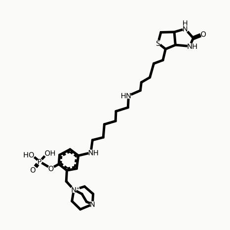 O=C1NC2CSC(CCCCCNCCCCCCNc3ccc(OP(=O)(O)O)c(C[N+]45CCN(CC4)CC5)c3)C2N1